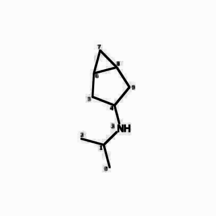 CC(C)NC1CC2CC2C1